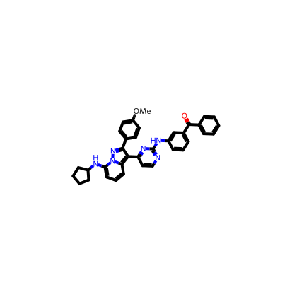 COc1ccc(-c2nn3c(NC4CCCC4)cccc3c2-c2ccnc(Nc3cccc(C(=O)c4ccccc4)c3)n2)cc1